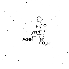 CC(=O)Nc1ccnc(C23CN(C(=O)O)CC2CSC(NC(=O)c2ccccc2)=N3)c1